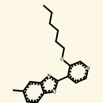 CCCCCCOc1cnccc1-c1nc2cc(C)ccc2o1